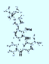 COc1c(Nc2cc(Nc3ncccn3)nnc2C(N)=O)cccc1-c1cc(P(=O)(C2CC2)C2CC2)n(C)n1